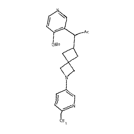 COc1ccncc1C(C(C)=O)C1CC2(C1)CN(c1ccc(C(F)(F)F)nc1)C2